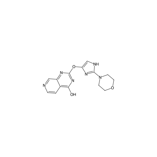 Oc1nc(Oc2c[nH]c(N3CCOCC3)n2)nc2cnccc12